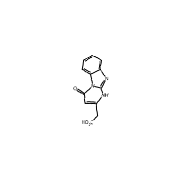 O=C(O)Cc1cc(=O)n2c(nc3ccccc32)[nH]1